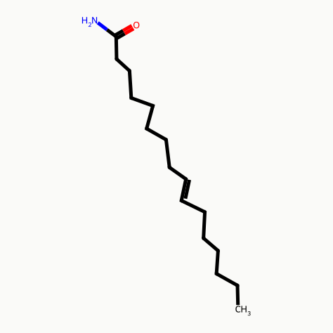 CCCCCC/C=C/CCCCCCCC(N)=O